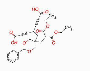 CCOC(=O)C(CC1(CC(C#CC(=O)O)C#CC(=O)O)COC(c2ccccc2)OC1)C(=O)OCC